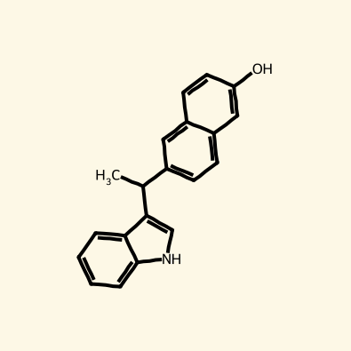 CC(c1ccc2cc(O)ccc2c1)c1c[nH]c2ccccc12